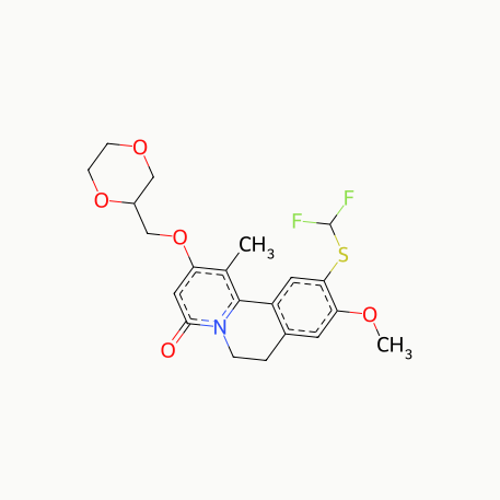 COc1cc2c(cc1SC(F)F)-c1c(C)c(OCC3COCCO3)cc(=O)n1CC2